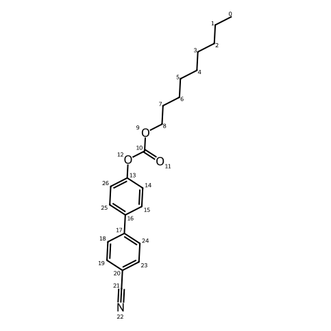 CCCCCCCCCOC(=O)Oc1ccc(-c2ccc(C#N)cc2)cc1